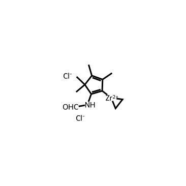 CC1=C(C)C(C)(C)C(NC=O)=[C]1[Zr+2]1[CH2][CH2]1.[Cl-].[Cl-]